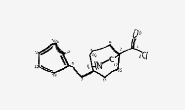 O=C(Cl)C12CCC(Cc3ccccc3)(CC1)NC2